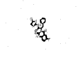 O=C(Nc1ncc(Cl)s1)C(CC1CCCCC1)n1c(=O)[nH]c2ccc(F)cc2c1=O